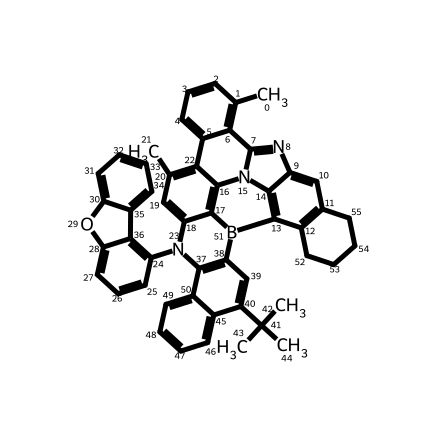 Cc1cccc2c1c1nc3cc4c(c5c3n1c1c3c(cc(C)c21)N(c1cccc2oc6ccccc6c12)c1c(cc(C(C)(C)C)c2ccccc12)B53)CCCC4